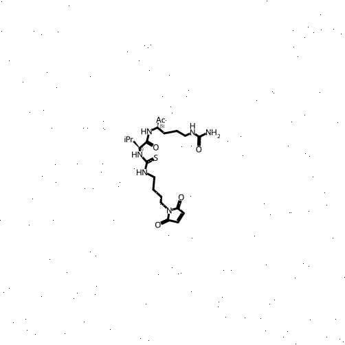 CC(=O)[C@H](CCCNC(N)=O)NC(=O)[C@@H](NC(=S)NCCCCN1C(=O)C=CC1=O)C(C)C